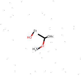 CC(=O)OC(C)O[SiH3].CCO